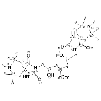 CCCCCCCCCCN(CC(O)CN1C(=O)NC2(CC(C)(C)N(C)C(C)(C)C2)C1=O)CC(O)CN1C(=O)NC2(CC(C)(C)N(C)C(C)(C)C2)C1=O